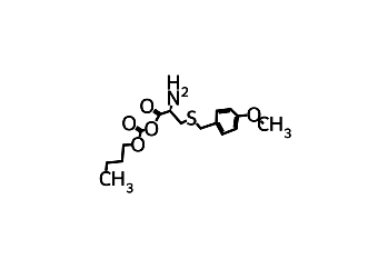 CCCCOC(=O)OC(=O)[C@@H](N)CSCc1ccc(OC)cc1